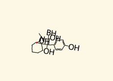 BC(O)(N(C)C)C(O)(c1ccc(O)cc1)C1(O)CCCCC1